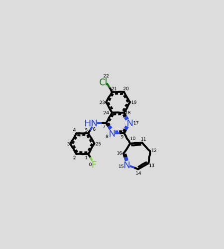 Fc1cccc(Nc2nc(C3=CCC=CN=C3)nc3ccc(Cl)cc23)c1